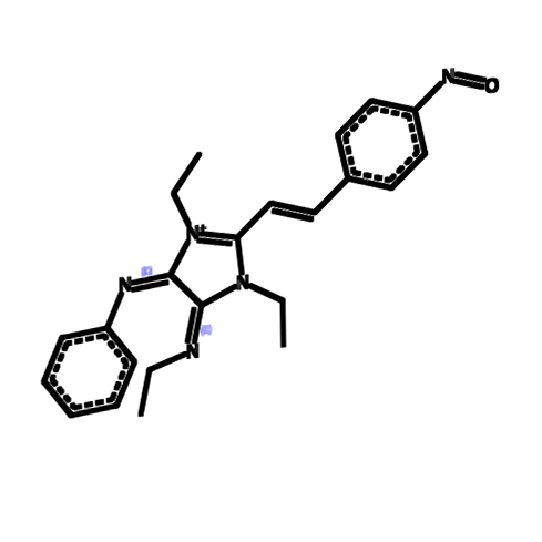 CC/N=C1\C(=N/c2ccccc2)[N+](CC)=C(C=Cc2ccc(N=O)cc2)N1CC